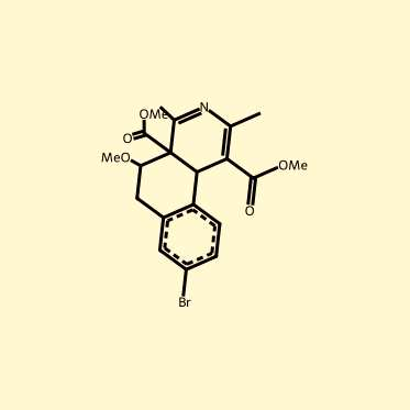 COC(=O)C1=C(C)N=C(C)C2(C(=O)OC)C(OC)Cc3cc(Br)ccc3C12